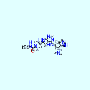 CN(C)Cc1cc(Nc2ncnc3[nH]c(C4=CCN(C(=O)NC(C)(C)C)CC4)cc23)cc2cn[nH]c12